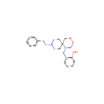 Oc1ccccc1CN1CCOCC12CCN(CCc1ccccc1)CC2